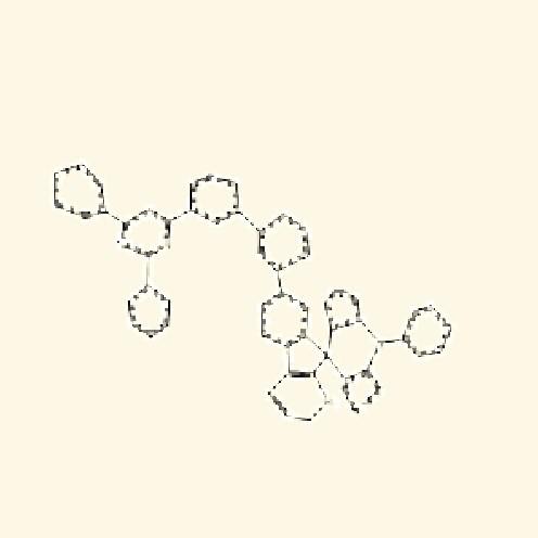 C1=CC2=C(NC1)C1(c3cc(-c4cccc(-c5cccc(-c6cc(-c7ccccc7)nc(-c7ccccc7)n6)c5)c4)ccc32)c2ccccc2N(c2ccccc2)c2ccccc21